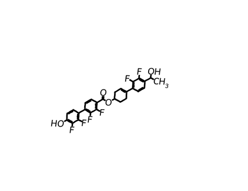 CC(O)c1ccc(C2=CCC(OC(=O)c3ccc(-c4ccc(O)c(F)c4F)c(F)c3F)CC2)c(F)c1F